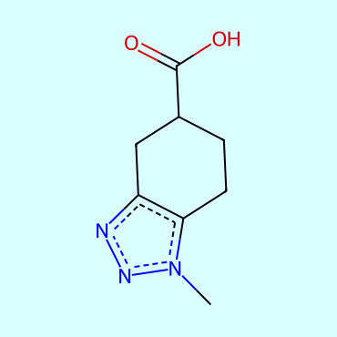 Cn1nnc2c1CCC(C(=O)O)C2